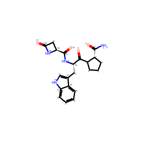 NC(=O)[C@@H]1CCCC1C(=O)[C@H](Cc1c[nH]c2ccccc12)NC(=O)[C@@H]1CC(=O)N1